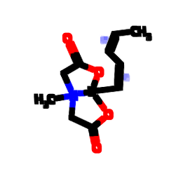 C/C=C\C=C/[B-]12OC(=O)C[N+]1(C)CC(=O)O2